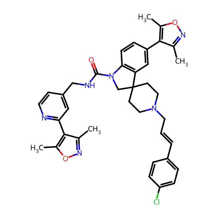 Cc1noc(C)c1-c1ccc2c(c1)C1(CCN(C/C=C/c3ccc(Cl)cc3)CC1)CN2C(=O)NCc1ccnc(-c2c(C)noc2C)c1